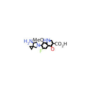 COc1c(N2CC(N)C3(CC3)C2)c(F)cc2c(=O)c(C(=O)O)c[nH]c12